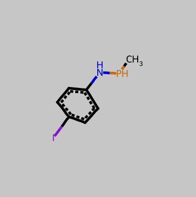 CPNc1ccc(I)cc1